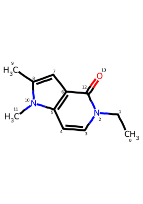 CCn1ccc2c(cc(C)n2C)c1=O